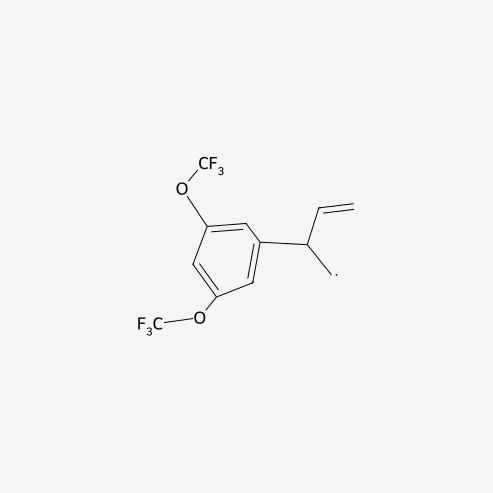 [CH2]C(C=C)c1cc(OC(F)(F)F)cc(OC(F)(F)F)c1